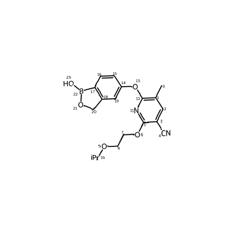 Cc1cc(C#N)c(OCCOC(C)C)nc1Oc1ccc2c(c1)COB2O